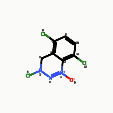 [O-][N+]1=NN(Cl)Cc2c(Cl)ccc(Cl)c21